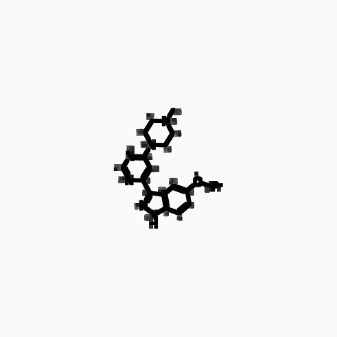 CC(C)Oc1ccc2[nH]nc(-c3cc(N4CCN(C)CC4)ncn3)c2c1